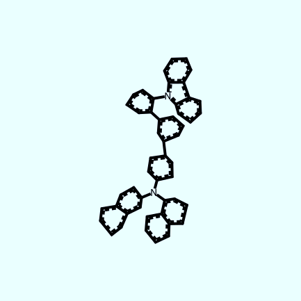 c1cc(-c2ccc(N(c3ccc4ccccc4c3)c3cccc4ccccc34)cc2)cc(-c2ccccc2-n2c3ccccc3c3ccccc32)c1